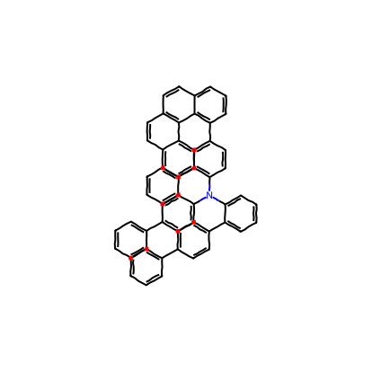 c1ccc(-c2ccc(-c3ccccc3N(c3ccc(-c4ccccc4)cc3)c3ccc(-c4cccc5ccc6ccc7ccccc7c6c45)cc3-c3ccccc3)cc2)cc1